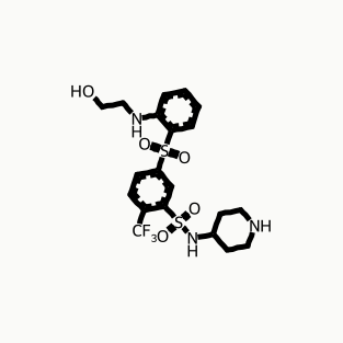 O=S(=O)(NC1CCNCC1)c1cc(S(=O)(=O)c2ccccc2NCCO)ccc1C(F)(F)F